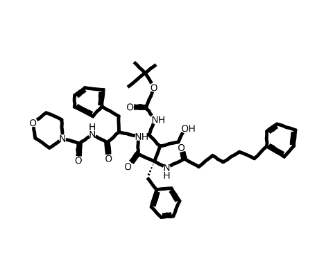 CC(C)(C)OC(=O)NCC(CO)[C@@](Cc1ccccc1)(NC(=O)CCCCCc1ccccc1)C(=O)NC(Cc1ccccc1)C(=O)NC(=O)N1CCOCC1